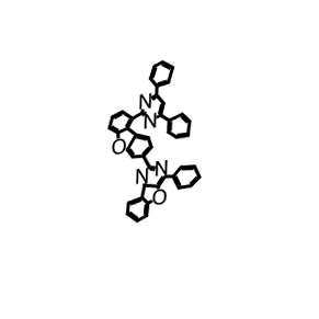 c1ccc(-c2cc(-c3ccccc3)nc(-c3cccc4oc5cc(-c6nc(-c7ccccc7)c7oc8ccccc8c7n6)ccc5c34)n2)cc1